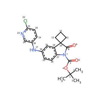 CC(C)(C)OC(=O)N1C(=O)C2(CCC2)c2cc(Nc3ccc(Cl)nc3)ccc21